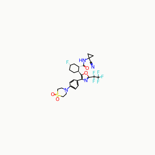 N#CC1(NC(=O)[C@H]2C[C@@H](F)CC[C@@H]2c2oc(C(F)(F)C(F)(F)F)nc2-c2ccc(N3CCS(=O)(=O)CC3)cc2)CC1